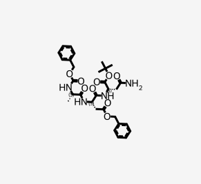 C[C@H](NC(=O)OCc1ccccc1)C(=O)N[C@@H](CC(=O)OCc1ccccc1)C(=O)N[C@@H](CC(N)=O)C(=O)OC(C)(C)C